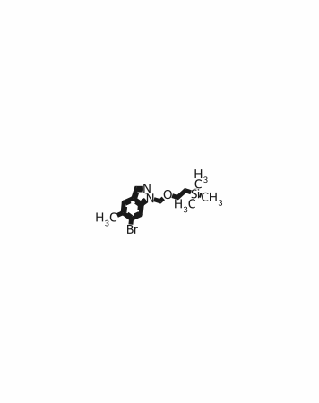 Cc1cc2cnn(COCC[Si](C)(C)C)c2cc1Br